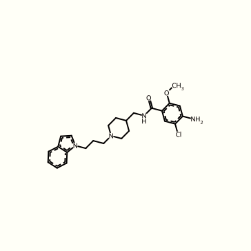 COc1cc(N)c(Cl)cc1C(=O)NCC1CCN(CCCn2ccc3ccccc32)CC1